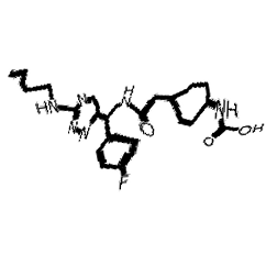 CCCCNc1ncc(C(NC(=O)CC2CCC(NC(=O)O)CC2)c2ccc(F)cc2)nn1